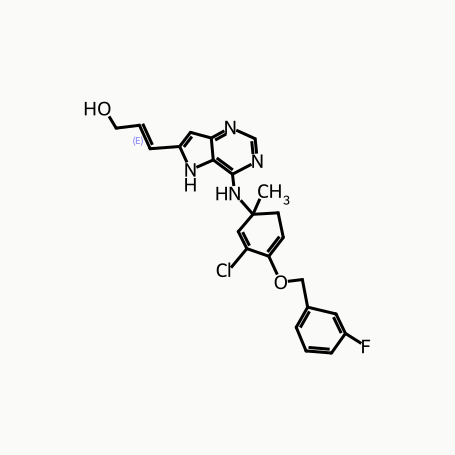 CC1(Nc2ncnc3cc(/C=C/CO)[nH]c23)C=C(Cl)C(OCc2cccc(F)c2)=CC1